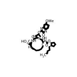 C=CCCC[C@@H]1CCC[C@H]1OC(=O)N[C@H]1CCCCC/C=C\[C@@H]2C[C@@]2(C(=O)O)NC(=O)[C@@H]2C[C@@H](Oc3nc4cc(OC)ccc4nc3Cl)CN2C1=O